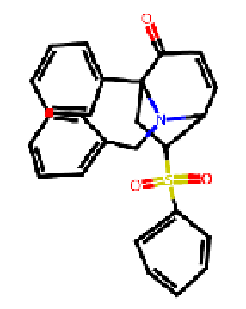 O=C1C=CC2C(S(=O)(=O)c3ccccc3)CC1(c1ccccc1)N2Cc1ccccc1